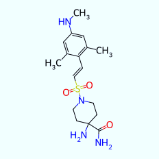 CNc1cc(C)c(/C=C/S(=O)(=O)N2CCC(N)(C(N)=O)CC2)c(C)c1